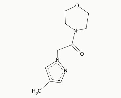 Cc1cnn(CC(=O)N2CCOCC2)c1